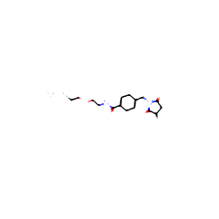 CNCCOCCNC(=O)C1CCC(CN2C(=O)CC(C)C2=O)CC1